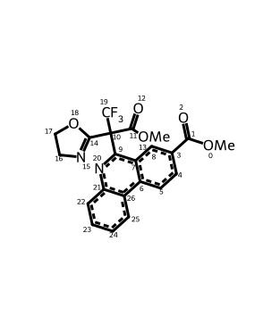 COC(=O)c1ccc2c(c1)c(C(C(=O)OC)(C1=NCCO1)C(F)(F)F)nc1ccccc12